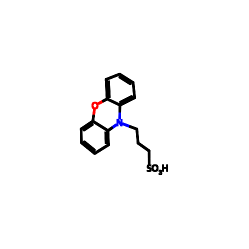 O=S(=O)(O)CCCN1c2ccccc2Oc2ccccc21